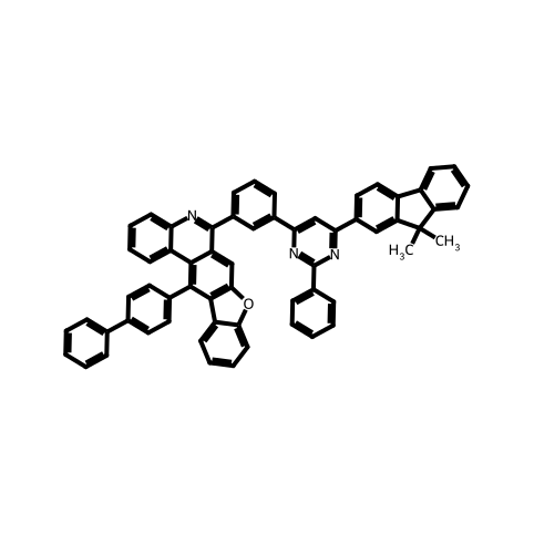 CC1(C)c2ccccc2-c2ccc(-c3cc(-c4cccc(-c5nc6ccccc6c6c(-c7ccc(-c8ccccc8)cc7)c7c(cc56)oc5ccccc57)c4)nc(-c4ccccc4)n3)cc21